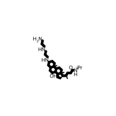 CC(C)NC(=O)CC[C@@H](C)[C@H]1CCC2C3C(CC[C@@]21C)[C@@]1(C)CC[C@H](NCCCNCCCN)CC1C[C@H]3O